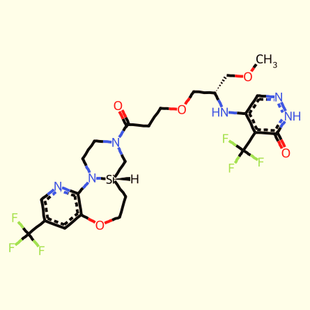 COC[C@@H](COCCC(=O)N1CCN2c3ncc(C(F)(F)F)cc3OCC[Si@H]2C1)Nc1cn[nH]c(=O)c1C(F)(F)F